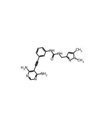 Cc1cc(CNC(=O)Nc2cccc(C#Cc3c(N)ncnc3N)c2)nn1C